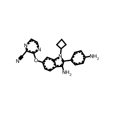 N#Cc1nccnc1Oc1ccc2c(N)c(-c3ccc(N)cc3)n(C3CCC3)c2c1